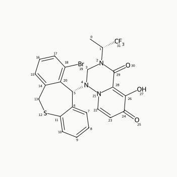 C[C@@H](N1CN([C@@H]2c3ccccc3SCc3cccc(Br)c32)n2ccc(=O)c(O)c2C1=O)C(F)(F)F